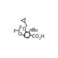 CCCCc1c(C(=O)O)ccc(OC(F)F)c1OCC1CC1